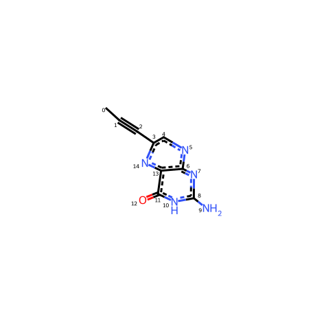 CC#Cc1cnc2nc(N)[nH]c(=O)c2n1